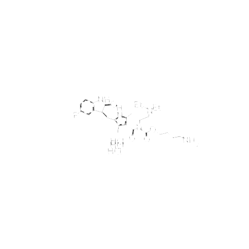 CCN(CC)CCN(C(=O)OCCCCN)C(=O)c1c(C)[nH]c(/C=C2\C(=O)Nc3ccc(F)cc32)c1C.Cl.Cl.Cl